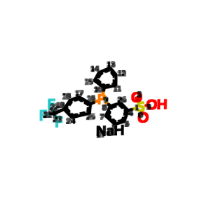 O=S(=O)(O)c1cccc(P(c2ccccc2)c2ccc(C(F)(F)F)cc2)c1.[NaH]